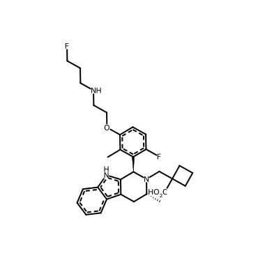 Cc1c(OCCNCCCF)ccc(F)c1[C@@H]1c2[nH]c3ccccc3c2C[C@@H](C)N1CC1(C(=O)O)CCC1